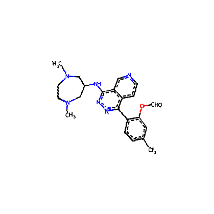 CN1CCN(C)CC(Nc2nnc(-c3ccc(C(F)(F)F)cc3OC=O)c3ccncc23)C1